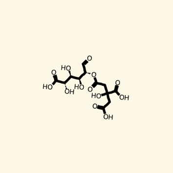 O=C[C@H](OC(=O)CC(O)(CC(=O)O)C(=O)O)[C@@H](O)[C@H](O)[C@H](O)C(=O)O